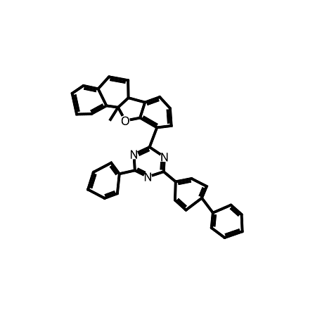 CC12Oc3c(-c4nc(-c5ccccc5)nc(-c5ccc(-c6ccccc6)cc5)n4)cccc3C1C=Cc1ccccc12